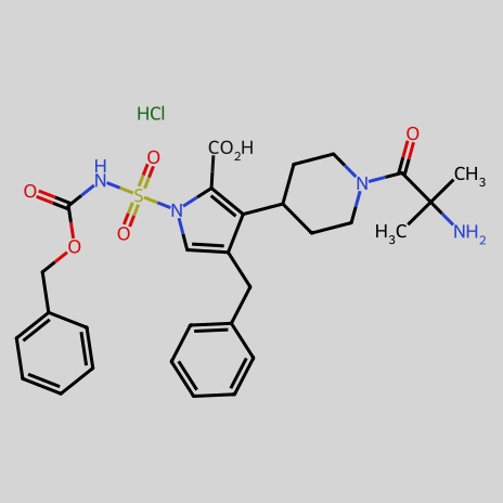 CC(C)(N)C(=O)N1CCC(c2c(Cc3ccccc3)cn(S(=O)(=O)NC(=O)OCc3ccccc3)c2C(=O)O)CC1.Cl